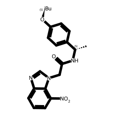 CC[C@H](C)Oc1ccc([C@H](C)NC(=O)Cn2cnc3cccc([N+](=O)[O-])c32)cc1